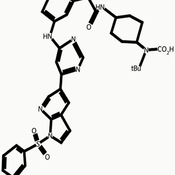 CC(C)(C)N(C(=O)O)C1CCC(NC(=O)Cc2cccc(Nc3cc(-c4cnc5c(ccn5S(=O)(=O)c5ccccc5)c4)ncn3)c2)CC1